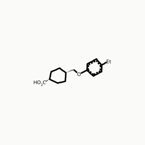 CCc1ccc(OC[C@H]2CC[C@@H](C(=O)O)CC2)cc1